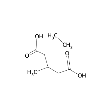 CC.CC(CC(=O)O)CC(=O)O